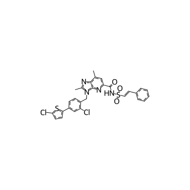 Cc1cc(C(=O)NS(=O)(=O)C=Cc2ccccc2)nc2c1nc(C)n2Cc1ccc(-c2ccc(Cl)s2)cc1Cl